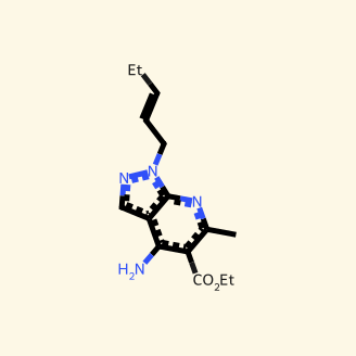 CCC=CCn1ncc2c(N)c(C(=O)OCC)c(C)nc21